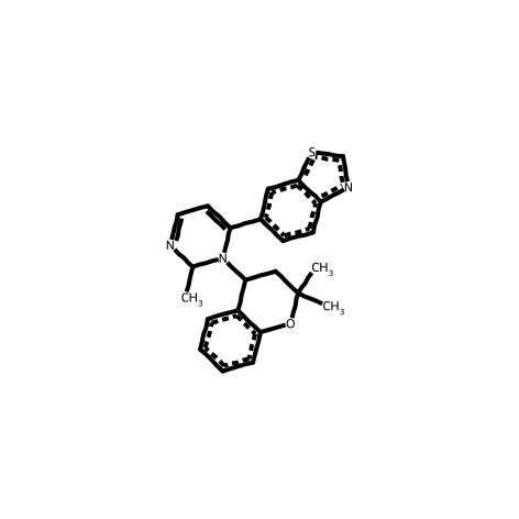 CC1N=CC=C(c2ccc3ncsc3c2)N1C1CC(C)(C)Oc2ccccc21